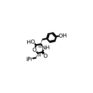 CC(C)C[C@@H]1OC(O)[C@H](Cc2ccc(O)cc2)NC1=O